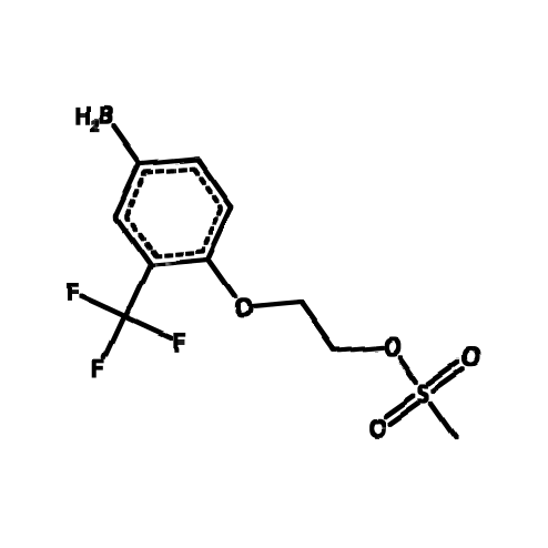 Bc1ccc(OCCOS(C)(=O)=O)c(C(F)(F)F)c1